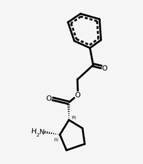 N[C@H]1CCC[C@H]1C(=O)OCC(=O)c1ccccc1